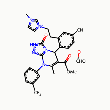 COC(=O)C1=C(C)N(c2cccc(C(F)(F)F)c2)c2n[nH]c(=O)n2C1c1ccc(C#N)cc1CC[n+]1ccn(C)c1.O=C[O-]